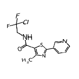 Cc1nc(-c2cccnc2)sc1C(=O)NCC(F)(F)Cl